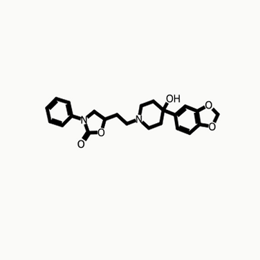 O=C1OC(CCN2CCC(O)(c3ccc4c(c3)OCO4)CC2)CN1c1ccccc1